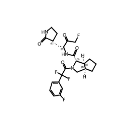 O=C1NCC[C@@H]1C[C@@H](NC(=O)[C@@H]1[C@H]2CCC[C@H]2CN1C(=O)C(F)(F)c1cccc(F)c1)C(=O)CF